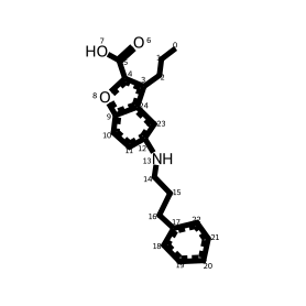 CCCc1c(C(=O)O)oc2ccc(NCCCc3ccccc3)cc12